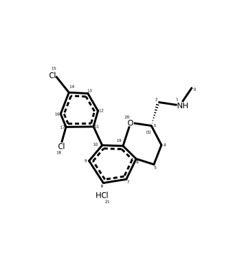 CNC[C@@H]1CCc2cccc(-c3ccc(Cl)cc3Cl)c2O1.Cl